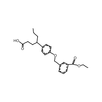 CCCC(CCC(=O)O)c1ccc(OCc2cccc(C(=O)OCC)c2)cc1